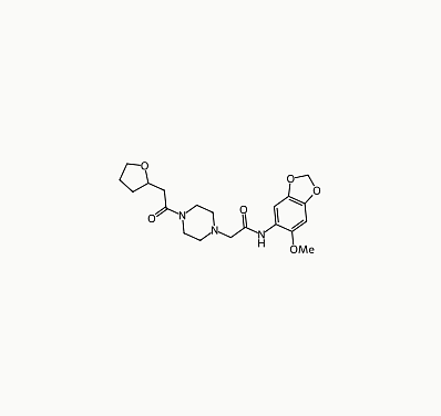 COc1cc2c(cc1NC(=O)CN1CCN(C(=O)CC3CCCO3)CC1)OCO2